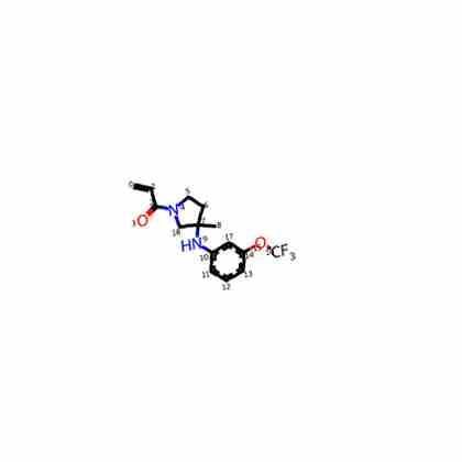 C=CC(=O)N1CCC(C)(Nc2cccc(OC(F)(F)F)c2)C1